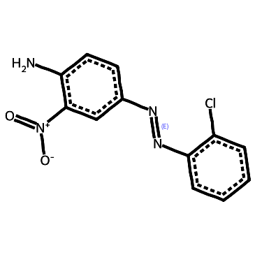 Nc1ccc(/N=N/c2ccccc2Cl)cc1[N+](=O)[O-]